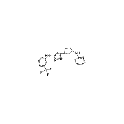 FC(F)(F)c1cccc(Nc2cc(C3CCC(Nc4ccccn4)C3)[nH]n2)c1